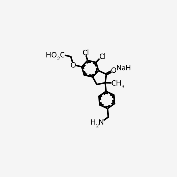 CC1(c2ccc(CN)cc2)Cc2cc(OCC(=O)O)c(Cl)c(Cl)c2C1=O.[NaH]